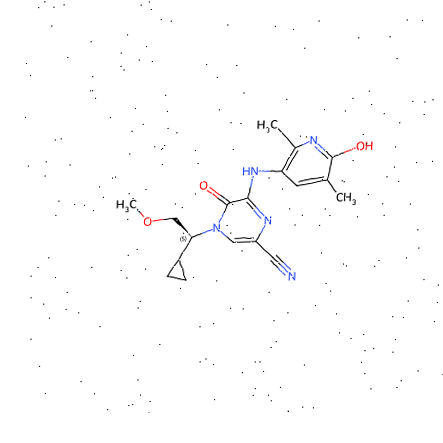 COC[C@H](C1CC1)n1cc(C#N)nc(Nc2cc(C)c(O)nc2C)c1=O